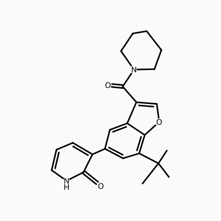 CC(C)(C)c1cc(-c2ccc[nH]c2=O)cc2c(C(=O)N3CCCCC3)coc12